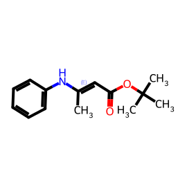 C/C(=C\C(=O)OC(C)(C)C)Nc1ccccc1